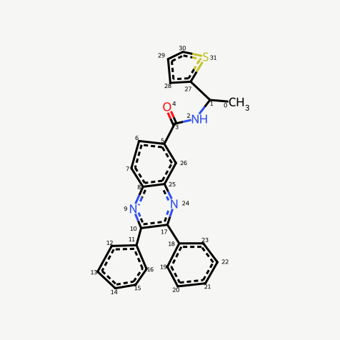 CC(NC(=O)c1ccc2nc(-c3ccccc3)c(-c3ccccc3)nc2c1)c1cccs1